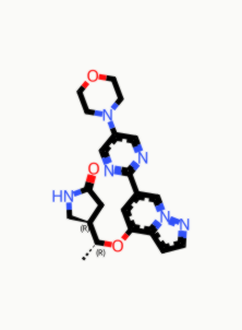 C[C@@H](Oc1cc(-c2ncc(N3CCOCC3)cn2)cn2nccc12)[C@H]1CNC(=O)C1